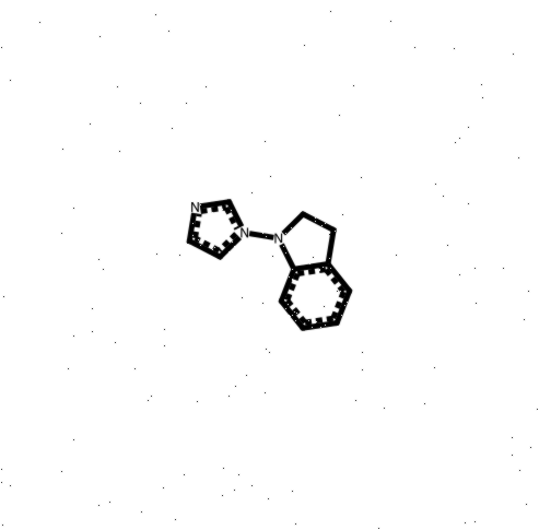 c1ccc2c(c1)CCN2n1ccnc1